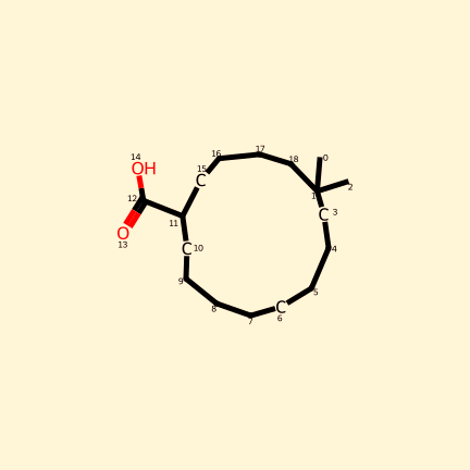 CC1(C)CCCCCCCCC(C(=O)O)CCCC1